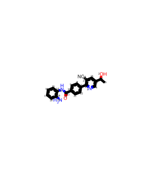 CC(O)c1cnc(-c2ccc(C(=O)Nc3ccccc3N)cc2)c(C#N)c1